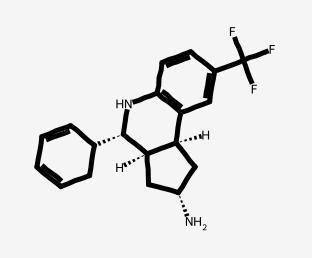 N[C@@H]1C[C@@H]2[C@H](C1)c1cc(C(F)(F)F)ccc1N[C@H]2C1C=CC=CC1